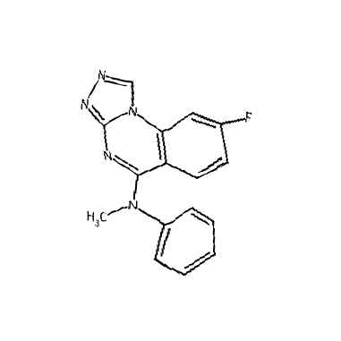 CN(c1ccccc1)c1nc2nncn2c2cc(F)ccc12